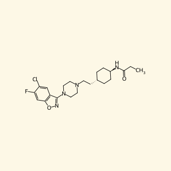 CCC(=O)N[C@H]1CC[C@H](CCN2CCN(c3noc4cc(F)c(Cl)cc34)CC2)CC1